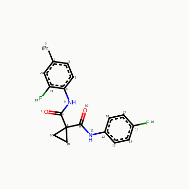 CC(C)c1ccc(NC(=O)C2(C(=O)Nc3ccc(F)cc3)CC2)c(F)c1